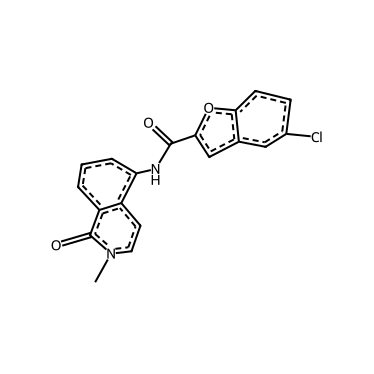 Cn1ccc2c(NC(=O)c3cc4cc(Cl)ccc4o3)cccc2c1=O